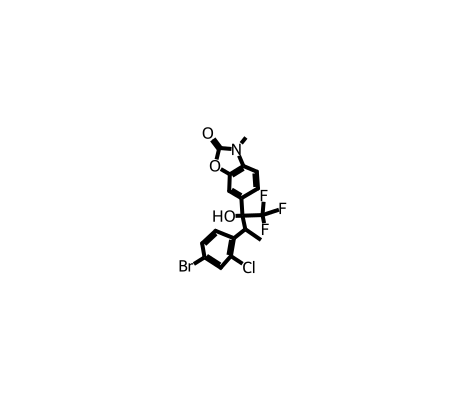 CC(c1ccc(Br)cc1Cl)C(O)(c1ccc2c(c1)oc(=O)n2C)C(F)(F)F